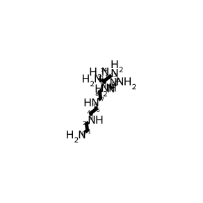 NCCNCCNCCNC(N)C(N)(N)N(N)N